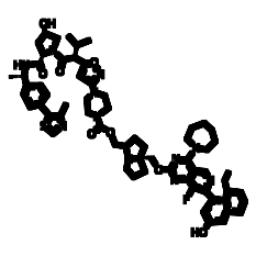 CCc1cccc2cc(O)cc(-c3ncc4c(N5CCCCCC5)nc(OC[C@]56CCCN5C(COC(=O)N5CCN(c7cc([C@@H](C(=O)N8C[C@H](O)C[C@H]8C(=O)N[C@@H](C)c8ccc(-c9scnc9C)cc8)C(C)C)on7)CC5)CC6)nc4c3F)c12